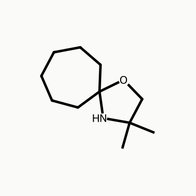 CC1(C)COC2(CCCCCC2)N1